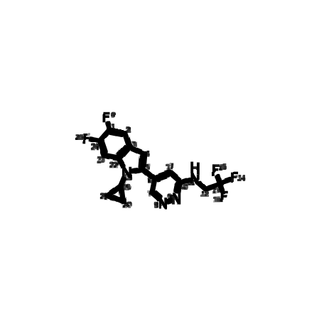 Fc1cc2cc(-c3cnnc(NCC(F)(F)F)c3)n(C3CC3)c2cc1F